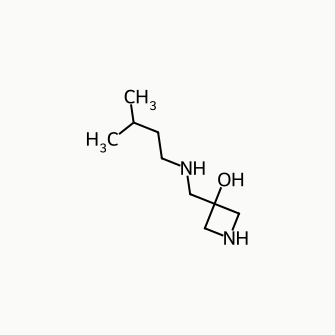 CC(C)CCNCC1(O)CNC1